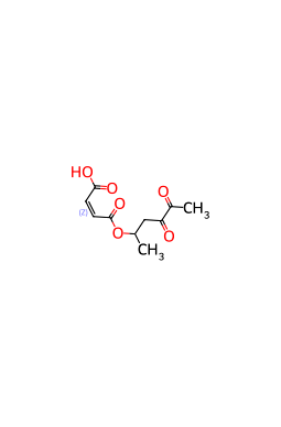 CC(=O)C(=O)CC(C)OC(=O)/C=C\C(=O)O